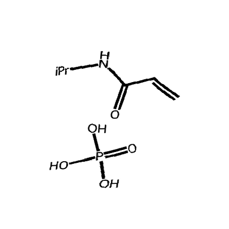 C=CC(=O)NC(C)C.O=P(O)(O)O